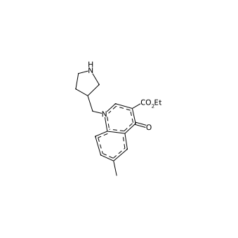 CCOC(=O)c1cn(CC2CCNC2)c2ccc(C)cc2c1=O